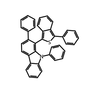 c1ccc(-c2ccc3c4ccccc4n(-c4ccccc4)c3c2-c2sc(-c3ccccc3)c3ccccc23)cc1